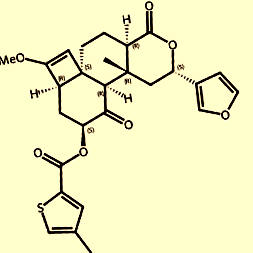 COC1=C[C@@]23CC[C@H]4C(=O)O[C@H](c5ccoc5)C[C@]4(C)[C@H]2C(=O)[C@@H](OC(=O)c2cc(C)cs2)C[C@@H]13